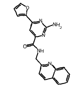 Nc1nc(C(=O)NCc2ccc3ccccc3n2)cc(-c2ccco2)n1